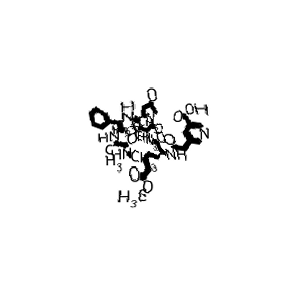 CNC(=O)[C@H](C)NC(=O)[C@@H](NC(=O)[C@@H]1CC(=O)CN1C(=O)[C@@H](NC(=O)[C@H](CC/C=C/C(=O)OC)NC(=O)Cc1cncc(C(=O)O)c1)C(C)(C)C)C1CCCCC1